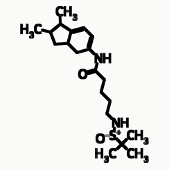 CC1CC2CC(NC(=O)CCCCN[S+]([O-])C(C)(C)C)=CC=C2C1C